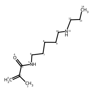 C=C(C)C(=O)NCCCCCNCCC